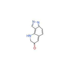 O=C1C=c2ccc3c(c2NC1)C=NN=3